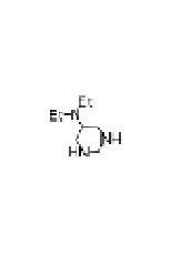 CCN(CC)C1CNCNC1